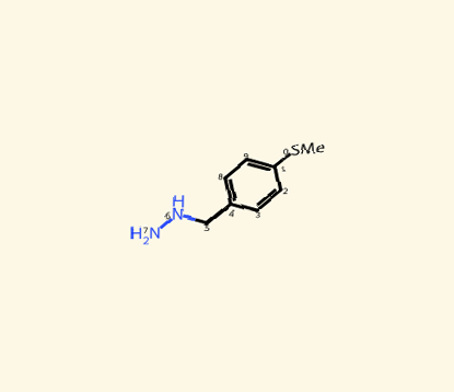 CSc1ccc(CNN)cc1